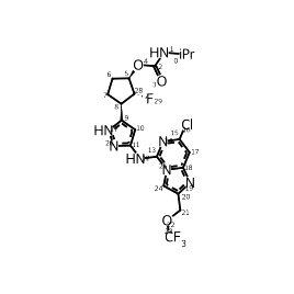 CC(C)NC(=O)O[C@@H]1CC[C@H](c2cc(Nc3nc(Cl)cc4nc(COC(F)(F)F)cn34)n[nH]2)[C@H]1F